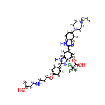 CN1CCN(c2ccc3[nH]c(-c4ccc5nc(-c6ccc(OCCCNCCC(=O)O)cc6)[nH]c5c4)nc3c2)CC1.O=C(O)C(F)(F)F